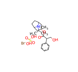 CC(C)[N+]1(C)C2CCC1CC(OC(=O)C(CO)c1ccccc1)C2.O=S(=O)(O)O.[Br-]